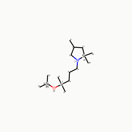 CC1CN(CCC[Si](C)(C)O[SiH](C)C)[Si](C)(C)C1